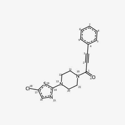 O=C(C#Cc1ccccc1)N1CCN(c2ncc(Cl)s2)CC1